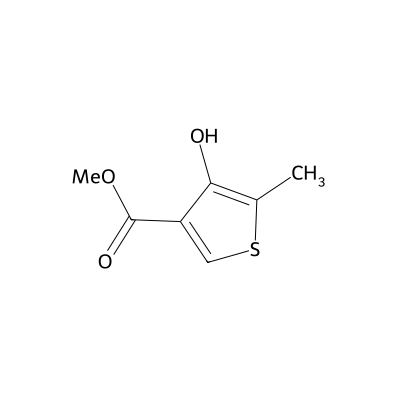 COC(=O)c1csc(C)c1O